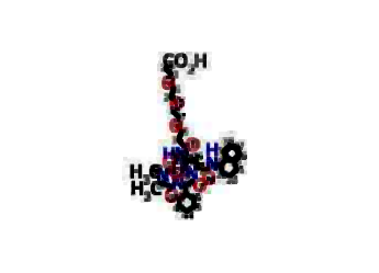 C[C@@H](C(=O)N[C@H](C(=O)N1C[C@@H](NC(=O)CCOCCOCCOCCC(=O)O)C[C@H]1C(=O)N[C@@H]1CCCc2ccccc21)C1CCCCC1)N(C)C(=O)OC(C)(C)C